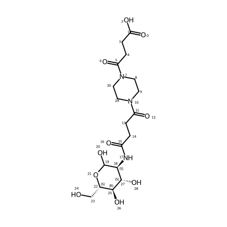 O=C(O)CCC(=O)N1CCN(C(=O)CCC(=O)N[C@@H]2C(O)O[C@@H](CO)[C@H](O)[C@H]2O)CC1